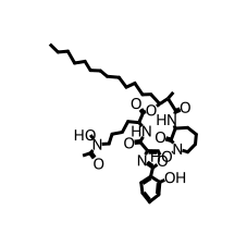 CCCCCCCCCCCCCC(OC(=O)C(CCCCN(O)C(C)=O)NC(=O)c1coc(-c2ccccc2O)n1)C(C)C(=O)NC1CCCCN(O)C1=O